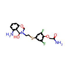 NC(=O)COc1c(F)cc(SCCN(C=O)C(O)c2ccccc2N)cc1F